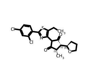 CCc1sc(-c2ccc(Cl)cc2Cl)nc1C1C(=O)[C@H]([C@H]2CCCO2)[C@H](C)C1=O